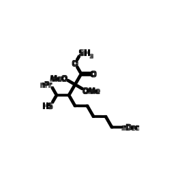 CCCCCCCCCCCCCCCC(C(S)CCC)C(OC)(OC)C(=O)O[SiH3]